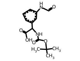 CC(C)(C)OC(=O)NC(C(=O)O)c1cccc(NC=O)c1